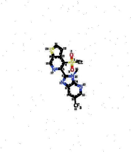 CCS(=O)(=O)c1c(-c2nc3cc(C(F)(F)F)cnc3n2C)ncc2sccc12